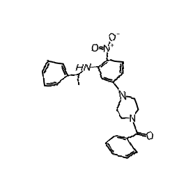 CC(Nc1cc(N2CCN(C(=O)c3ccccc3)CC2)ccc1[N+](=O)[O-])c1ccccc1